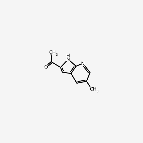 CC(=O)c1cc2cc(C)cnc2[nH]1